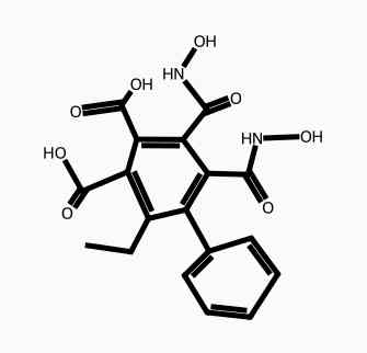 CCc1c(C(=O)O)c(C(=O)O)c(C(=O)NO)c(C(=O)NO)c1-c1ccccc1